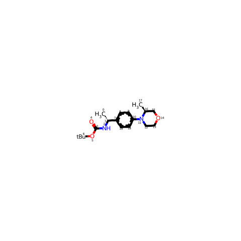 C[C@@H](NC(=O)OC(C)(C)C)c1ccc(N2CCOC[C@@H]2C)cc1